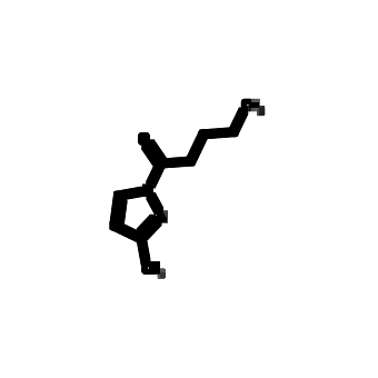 CCCCC(=O)n1ccc(C)n1